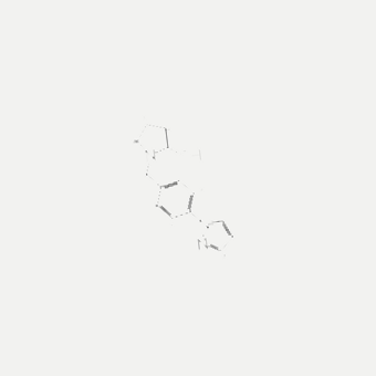 CC1CCCN1Cc1ccc(-n2cccn2)cc1